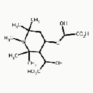 CN1C(C)(C)CC(OC(O)C(=O)O)C(C(O)C(=O)O)C1(C)C